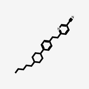 CCCCCC1CCC(c2ccc(CCc3ccc(C#N)cn3)cc2)CC1